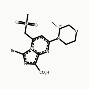 C[C@@H]1COCCN1c1cc(CS(C)(=O)=O)n2c(Br)nc(C(=O)O)c2n1